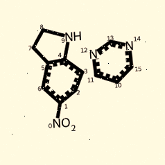 O=[N+]([O-])c1ccc2c(c1)CCN2.c1cncnc1